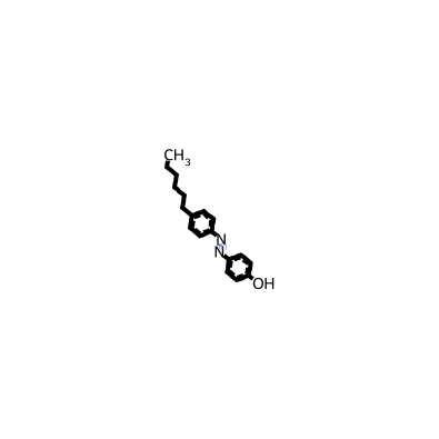 CCCCCCc1ccc(/N=N/c2ccc(O)cc2)cc1